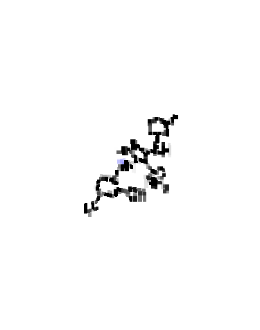 Cc1ccc(/C=N/c2[nH]nc(Nc3cccc(Cl)c3)c2C(N)=O)c(O)c1